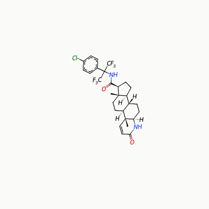 C[C@]12C=CC(=O)N[C@@H]1CC[C@@H]1[C@@H]2CC[C@]2(C)[C@@H](C(=O)NC(c3ccc(Cl)cc3)(C(F)(F)F)C(F)(F)F)CC[C@@H]12